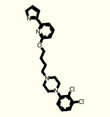 Clc1cccc(N2CCN(CCCCOc3cccc(C4=NCC=C4)n3)CC2)c1Cl